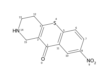 O=c1c2c(sc3ccc([N+](=O)[O-])cc13)CCNC2